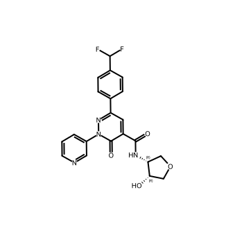 O=C(N[C@@H]1COC[C@@H]1O)c1cc(-c2ccc(C(F)F)cc2)nn(-c2cccnc2)c1=O